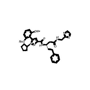 COc1cccc(OC)c1-c1cc(C(=O)N[C@@H](CCc2ccccc2)CC(=O)NCc2nccs2)nn1C1CCCC1